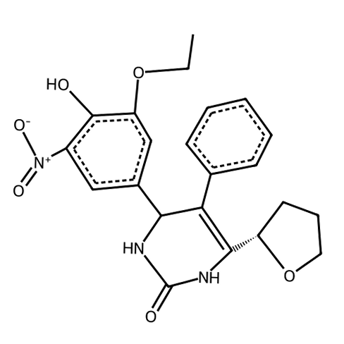 CCOc1cc(C2NC(=O)NC([C@@H]3CCCO3)=C2c2ccccc2)cc([N+](=O)[O-])c1O